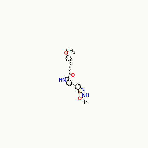 COc1ccc(CCCCC(=O)c2c[nH]c3ccc(-c4ccc5nc(NC(=O)C6CC6)sc5c4)cc23)cc1